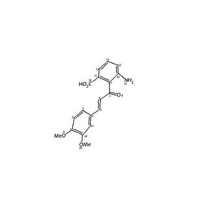 COc1ccc(/C=C/C(=O)c2c(N)cccc2C(=O)O)cc1OC